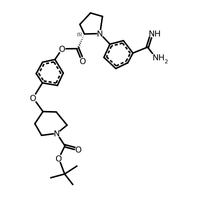 CC(C)(C)OC(=O)N1CCC(Oc2ccc(OC(=O)[C@@H]3CCCN3c3cccc(C(=N)N)c3)cc2)CC1